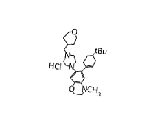 CN1CCOc2cc(N3CCN(CC4CCOCC4)CC3)c(C3=CCC(C(C)(C)C)CC3)cc21.Cl